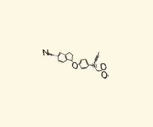 CC#C[C@@H](CC(=O)OC)c1ccc(OC2CCc3cc(C#N)ccc32)cc1